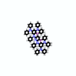 c1ccc(N(c2ccccc2)c2cc3c4c(c2)n(-c2ccccc2)c2nc5c(cc2p4c2ccccc2n3-c2ccccc2)p2c3ccccc3n(-c3ccccc3)c3cc(N(c4ccccc4)c4ccccc4)cc(c32)n5-c2ccccc2)cc1